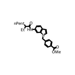 CCCCCC(CC)C(=O)Nc1ccc2ccn(Cc3ccc(C(=O)OC)cc3)c2c1